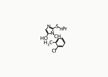 CCCSc1ncc(O)n1C.Cc1ccccc1Cl